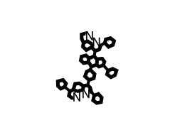 c1ccc(-c2ccc3c(-c4cc(-c5ccccc5)nc5c4ccc4cccnc45)c4ccccc4c(-c4ccc(-c5cc(-c6ccccc6)nc6c5ccc5c(-c7ccccc7)ccnc56)cc4)c3c2)cc1